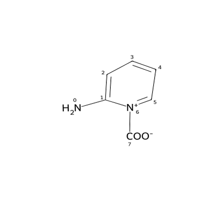 Nc1cccc[n+]1C(=O)[O-]